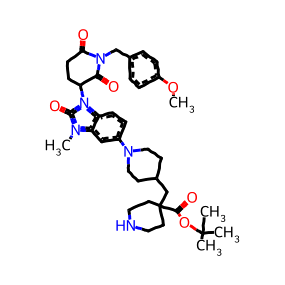 COc1ccc(CN2C(=O)CCC(n3c(=O)n(C)c4cc(N5CCC(CC6(C(=O)OC(C)(C)C)CCNCC6)CC5)ccc43)C2=O)cc1